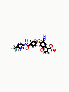 N#Cc1cc2c(cc1Oc1ccc(C(=O)Nc3ccc(C(F)(F)F)cn3)cc1)OCCC2C(=O)O